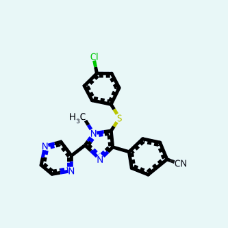 Cn1c(-c2cnccn2)nc(-c2ccc(C#N)cc2)c1Sc1ccc(Cl)cc1